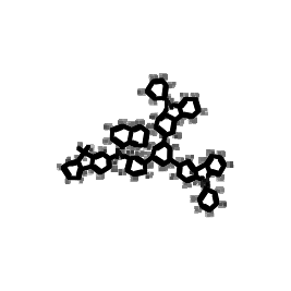 CC1(C)c2ccccc2-c2ccc(N(c3cccc(-c4cc(-c5ccc6c(c5)c5ccccc5n6-c5ccccc5)cc(-c5ccc6c(c5)c5ccccc5n6-c5ccccc5)c4)c3)c3cccc4ccccc34)cc21